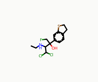 CCNC(C(Cl)Cl)C(O)(CF)c1ccc2c(c1)SCC2